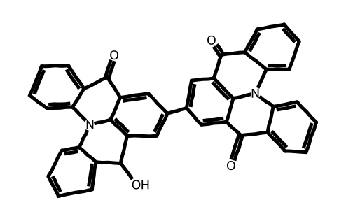 O=c1c2ccccc2n2c3c(cc(-c4cc5c(=O)c6ccccc6n6c7ccccc7c(=O)c(c4)c56)cc13)C(O)c1ccccc1-2